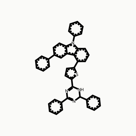 c1ccc(C2=NC(c3ccccc3)NC(c3ccc(-c4cccc5c4c4cc(-c6ccccc6)ccc4n5-c4ccccc4)s3)=N2)cc1